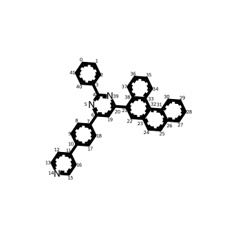 c1ccc(-c2nc(-c3ccc(-c4ccncc4)cc3)cc(-c3cc4ccc5ccccc5c4c4ccccc34)n2)cc1